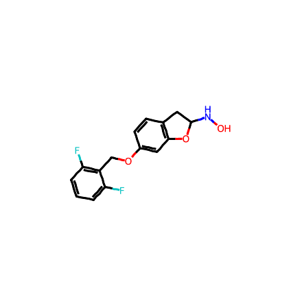 ONC1Cc2ccc(OCc3c(F)cccc3F)cc2O1